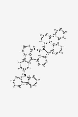 O=C1c2cccc(-n3c4ccccc4c4ccc(-n5c6ccccc6c6ccccc65)cc43)c2C(=O)N1c1cccc(-c2ccccc2)c1-c1ccccc1